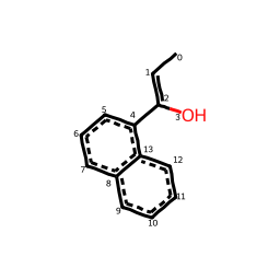 CC=C(O)c1cccc2ccccc12